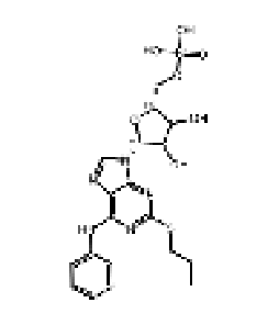 CCCSc1nc(Nc2ccccc2)c2ncn([C@@H]3O[C@H](COP(=O)(O)O)C(O)C3O)c2n1